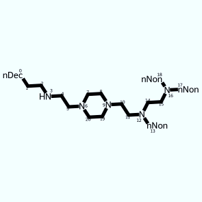 CCCCCCCCCCCCNCCN1CCN(CCN(CCCCCCCCC)CCN(CCCCCCCCC)CCCCCCCCC)CC1